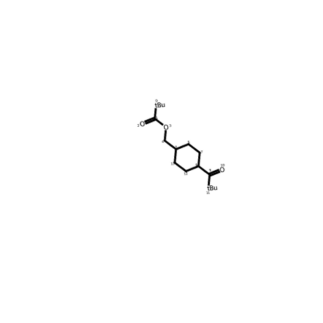 CC(C)(C)C(=O)OCC1CCC(C(=O)C(C)(C)C)CC1